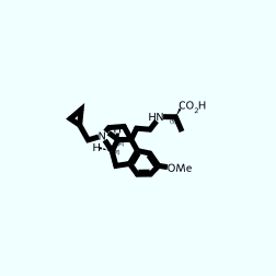 COc1ccc2c(c1)C1(CCN[C@@H](C)C(=O)O)CCN(CC3CC3)[C@H](C2)[C@@H]1C